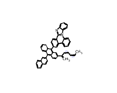 C=C(/C=C\C=C/C)c1ccc2c(c1)=C(c1ccc3c(c1)c1ccccc1n1c4ccccc4nc31)C1CC=CC=C1C=2c1ccc2ccccc2c1